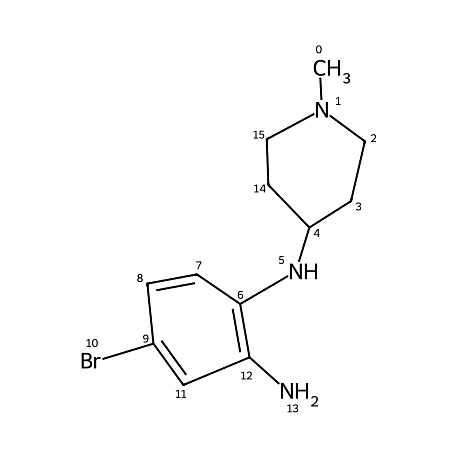 CN1CCC(Nc2ccc(Br)cc2N)CC1